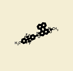 Cc1ccc(C(c2ccc(-c3nc4c(cc5cc6oc(C)nc6c6c7cccc8cccc(c87)c4c56)o3)cc2)(C(F)(F)F)C(F)(F)F)cc1